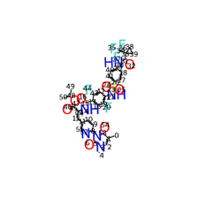 Cc1cn(C)c(=O)n(-c2ccc(C[C@H](NC(=O)c3cc(F)c(NS(=O)(=O)c4ccc(NC(=O)C5(C(F)(F)F)CC5)cc4)cc3F)C(=O)OC(C)C)cn2)c1=O